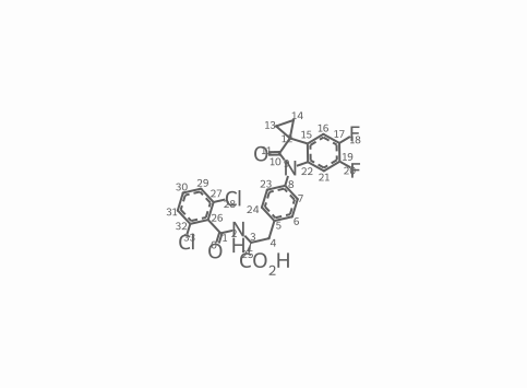 O=C(N[C@@H](Cc1ccc(N2C(=O)C3(CC3)c3cc(F)c(F)cc32)cc1)C(=O)O)c1c(Cl)cccc1Cl